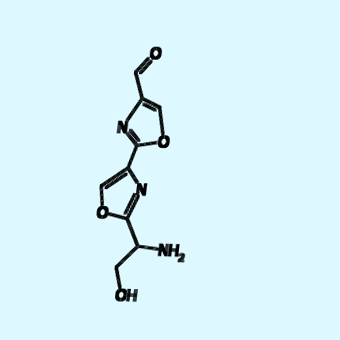 NC(CO)c1nc(-c2nc(C=O)co2)co1